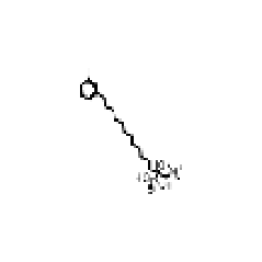 C[N+](C)(C)CC(O)(CCCCCCCCCCCCc1cccc(I)c1)P(=O)(O)O